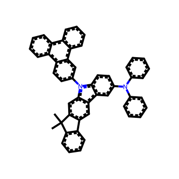 CC1(C)c2ccccc2-c2cc3c4cc(N(c5ccccc5)c5ccccc5)ccc4n(-c4ccc5c6ccccc6c6ccccc6c5c4)c3cc21